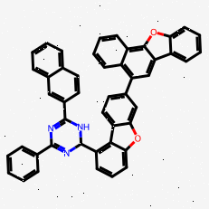 c1ccc(C2=NC(c3cccc4oc5cc(-c6cc7c8ccccc8oc7c7ccccc67)ccc5c34)NC(c3ccc4ccccc4c3)=N2)cc1